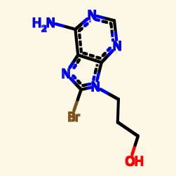 Nc1ncnc2c1nc(Br)n2CCCO